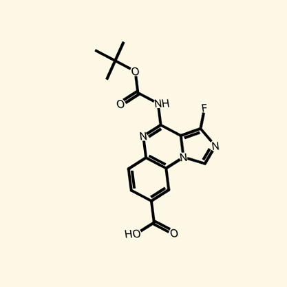 CC(C)(C)OC(=O)Nc1nc2ccc(C(=O)O)cc2n2cnc(F)c12